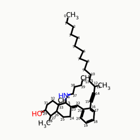 CCCCCCCCCCCCC(C)C#Cc1ccccc1/C=C1\CCC2C(C)C(O)CC[C@]2(C)C1NCCCC